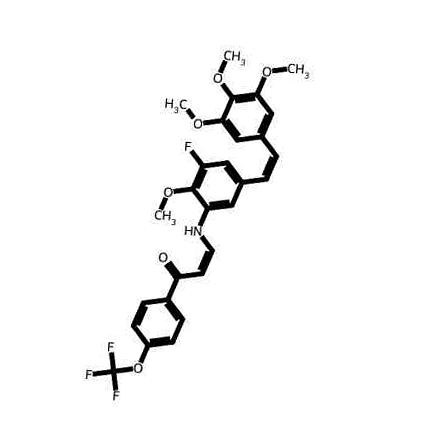 COc1cc(/C=C\c2cc(F)c(OC)c(N/C=C\C(=O)c3ccc(OC(F)(F)F)cc3)c2)cc(OC)c1OC